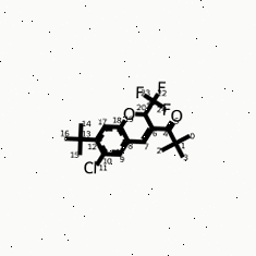 CC(C)(C)C(=O)C1=Cc2cc(Cl)c(C(C)(C)C)cc2OC1C(F)(F)F